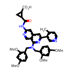 COc1ccc(CN(Cc2ccc(OC)cc2OC)c2nc(-c3cnccc3C)cc3cc(NC(=O)C4CC4C(=O)O)ncc23)c(OC)c1